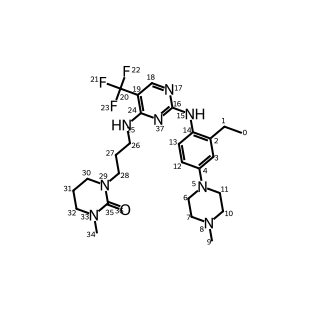 CCc1cc(N2CCN(C)CC2)ccc1Nc1ncc(C(F)(F)F)c(NCCCN2CCCN(C)C2=O)n1